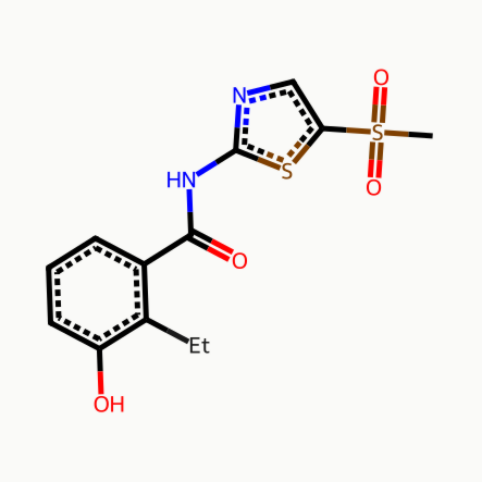 CCc1c(O)cccc1C(=O)Nc1ncc(S(C)(=O)=O)s1